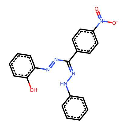 O=[N+]([O-])c1ccc(C(=N/Nc2ccccc2)/N=N/c2ccccc2O)cc1